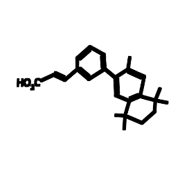 Cc1cc2c(cc1-c1cccc(/C=C/C(=O)O)c1)C(C)(C)CCC2(C)C